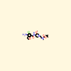 COC1CN(CCN(C)C(=O)OC(C)(C)C)CCC1NC(=O)c1cc(Cl)c(N)c2c1OCC2